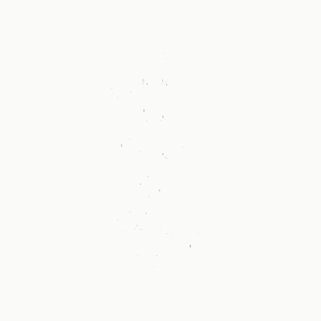 c1ccc(-c2ccc3c(-c4ccc(-c5c6ccccc6c(-c6ccc(-c7nc8ccccc8n7-c7ccccc7)cc6)c6ccccc56)cc4)c4ccccc4c(-c4ccccc4)c3c2)cc1